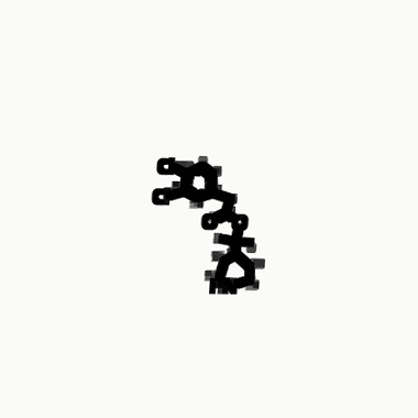 CC(C)(OC(=O)Cc1ccc(Cl)c(Cl)c1)C1CCNCC1